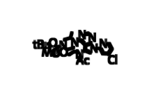 COCCN(C(C)=O)c1cn(-c2cc(Cl)ccn2)c2ncnc(N3CCN(C(=O)OC(C)(C)C)CC3C)c12